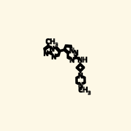 Cc1cnc2ncc(-c3ccn4nc(N[C@H]5C[C@H](N6CCN(C)CC6)C5)ncc34)cn12